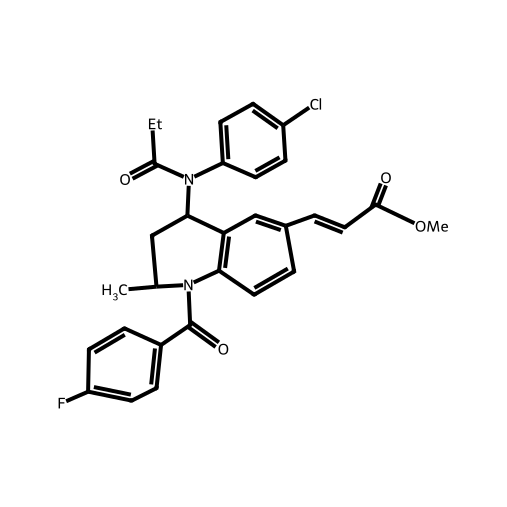 CCC(=O)N(c1ccc(Cl)cc1)C1CC(C)N(C(=O)c2ccc(F)cc2)c2ccc(C=CC(=O)OC)cc21